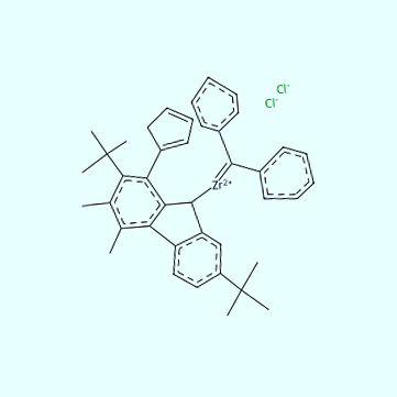 Cc1c(C)c(C(C)(C)C)c(C2=CC=CC2)c2c1-c1ccc(C(C)(C)C)cc1[CH]2[Zr+2]=[C](c1ccccc1)c1ccccc1.[Cl-].[Cl-]